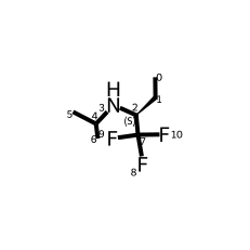 CC[C@H](NC(C)C)C(F)(F)F